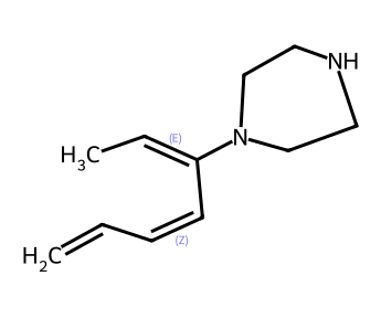 C=C/C=C\C(=C/C)N1CCNCC1